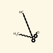 C#CC#CC#CC#CC#CC#CC#CC#CC1(CCCCCCCCCC)c2ccccc2-c2ccc(C=O)cc21